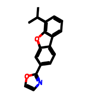 CC(C)c1cccc2c1oc1cc(-c3ncco3)ccc12